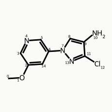 COc1cncc(-n2cc(N)c(Cl)n2)c1